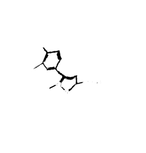 Cn1nc(C(=O)O)cc1-c1ccc(Cl)c(Cl)c1